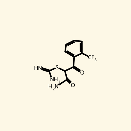 N=C(N)SC(C(N)=O)C(=O)c1ccccc1C(F)(F)F